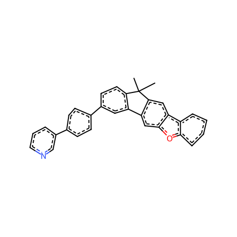 CC1(C)c2ccc(-c3ccc(-c4cccnc4)cc3)cc2-c2cc3oc4ccccc4c3cc21